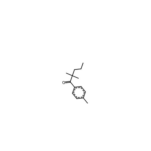 CCCC(C)(C)C(=O)c1ccc(C)cc1